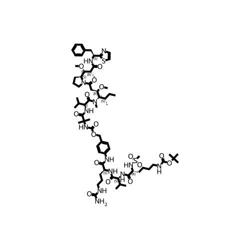 CC[C@H](C)[C@@H]([C@@H](CC(=O)N1CCC[C@H]1[C@H](OC)[C@@H](C)C(=O)N[C@@H](Cc1ccccc1)c1nccs1)OC)N(C)C(=O)[C@@H](NC(=O)C(C)(C)NC(=O)OCc1ccc(NC(=O)[C@H](CCCNC(N)=O)NC(=O)[C@@H](NC(=O)[C@@H](CCCCNC(=O)OC(C)(C)C)NS(C)(=O)=O)C(C)C)cc1)C(C)C